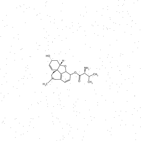 CC(C)[C@H](N)C(=O)OC1C=CC2=C3C1O[C@H]1C[C@@H](O)C=C[C@@]31CCN(C)C2